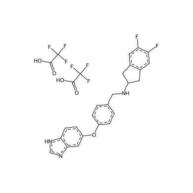 Fc1cc2c(cc1F)CC(NCc1ccc(Oc3ccc4[nH]cnc4c3)cc1)C2.O=C(O)C(F)(F)F.O=C(O)C(F)(F)F